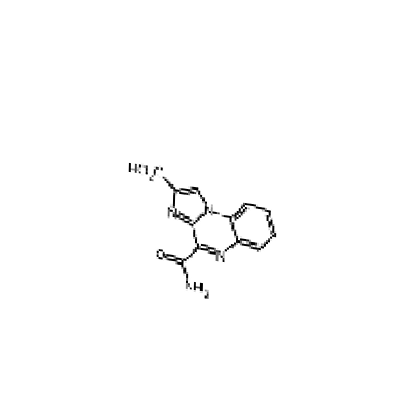 NC(=O)c1nc2ccccc2n2cc(C(=O)O)nc12